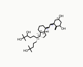 C=C1/C(=C\C=C2/CCC[C@]3(C)[C@@H]([C@H](CCCC(C)(C)O)CCC(O)C(C)(C)O)CC[C@@H]23)C[C@@H](O)CC1O